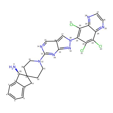 N[C@@H]1c2ccccc2CC12CCN(c1ncc3cn(-c4c(Cl)c(Cl)c5nccnc5c4Cl)nc3n1)CC2